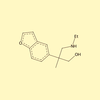 CCNCC(C)(CO)c1ccc2occc2c1